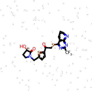 O=C(CSc1nc(C(F)(F)F)nc2ncccc12)c1ccc(CN2CC[C@@H](O)C2=O)s1